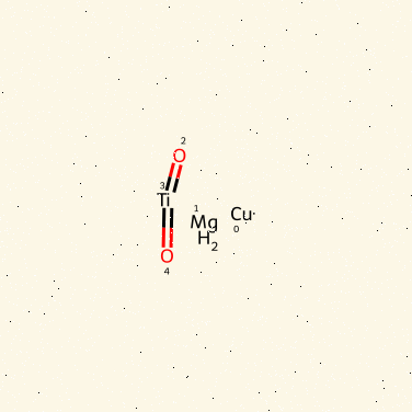 [Cu].[MgH2].[O]=[Ti]=[O]